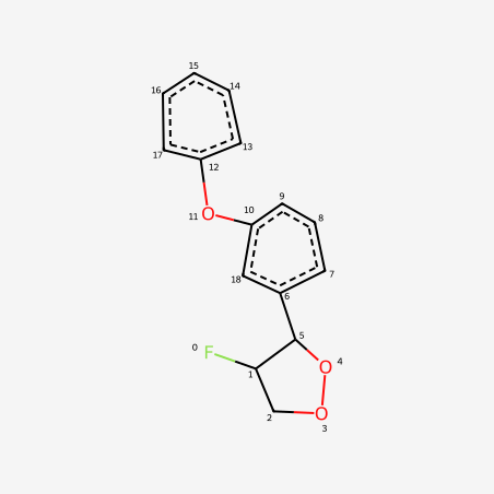 FC1COOC1c1cccc(Oc2ccccc2)c1